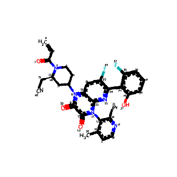 C=CC(=O)N1CCC(n2c(=O)c(=O)n(-c3c(C)ccnc3C(C)C)c3nc(-c4c(O)cccc4F)c(F)cc32)C[C@H]1CC#N